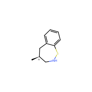 C[C@@H]1CNSc2ccccc2C1